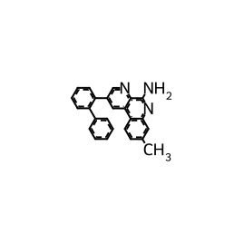 Cc1ccc2c(c1)nc(N)c1ncc(-c3ccccc3-c3ccccc3)cc12